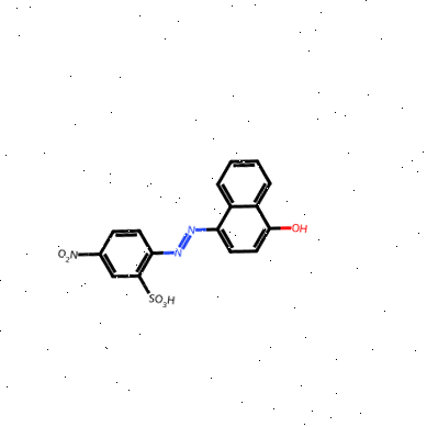 O=[N+]([O-])c1ccc(N=Nc2ccc(O)c3ccccc23)c(S(=O)(=O)O)c1